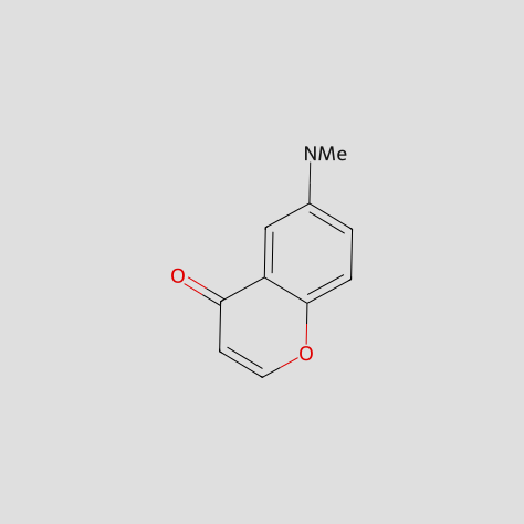 CNc1ccc2occc(=O)c2c1